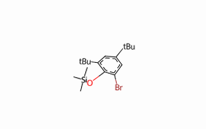 CC(C)(C)c1cc(Br)c(O[Si](C)(C)C)c(C(C)(C)C)c1